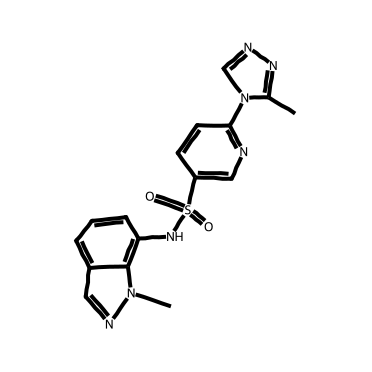 Cc1nncn1-c1ccc(S(=O)(=O)Nc2cccc3cnn(C)c23)cn1